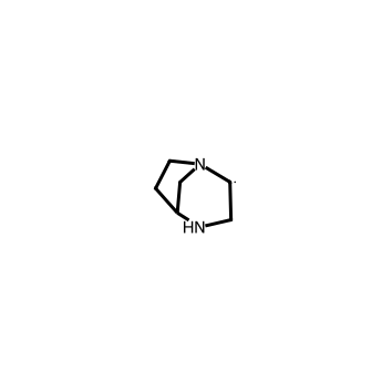 [CH]1CNC2CCN1C2